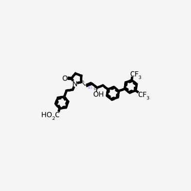 O=C(O)c1ccc(CCN2C(=O)CC[C@@H]2/C=C/[C@@H](O)Cc2cccc(-c3cc(C(F)(F)F)cc(C(F)(F)F)c3)c2)cc1